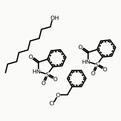 CCCCCCCCCO.ClOCc1ccccc1.O=C1NS(=O)(=O)c2ccccc21.O=C1NS(=O)(=O)c2ccccc21